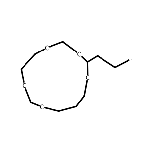 [CH2]CCC1CCCCCCCCCCCC1